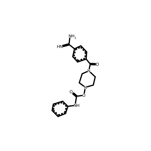 N=C(N)c1ccc(C(=O)N2CCN(OC(=O)Nc3ccccc3)CC2)cc1